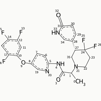 CC(C(=O)Nc1ccc(Oc2cc(F)c(F)cc2F)cn1)N1CCC(F)(F)[C@@H](c2ccc(=O)[nH]c2)C1